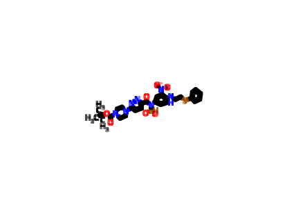 CC(C)(C)OC(=O)N1CCN(c2ccc(C(=O)N(c3ccc(NCCSc4ccccc4)c([N+](=O)[O-])c3)[SH](=O)=O)nn2)CC1